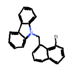 CCc1cccc2cccc(Cn3c4ccccc4c4ccccc43)c12